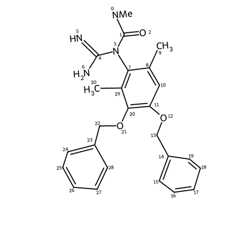 CNC(=O)N(C(=N)N)c1c(C)cc(OCc2ccccc2)c(OCc2ccccc2)c1C